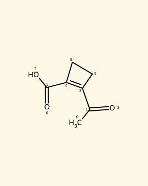 CC(=O)C1=C(C(=O)O)CC1